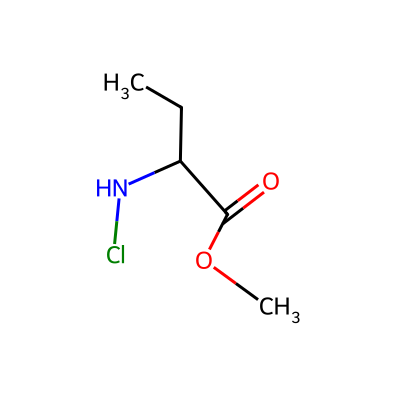 CCC(NCl)C(=O)OC